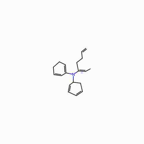 C=CCC/C(=C\C)N(C1=CCCC=C1)C1C=CC=CC1